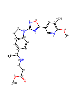 CC(C)Oc1ncc(-c2nc(N3CCc4cc(C(C)NCCC(=O)OC(C)(C)C)ccc43)no2)cc1C#N